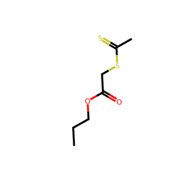 CCCOC(=O)CSC(C)=S